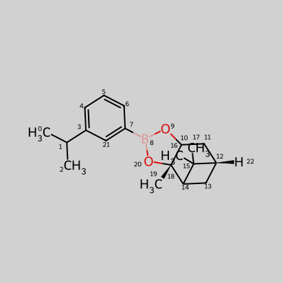 CC(C)c1cccc(B2OC3C[C@@H]4CC(C4(C)C)[C@]3(C)O2)c1